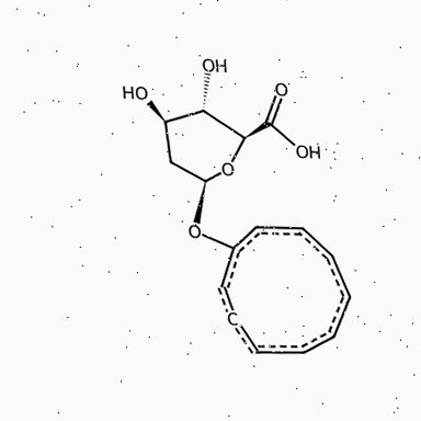 O=C(O)[C@H]1O[C@@H](Oc2ccccccccc2)C[C@@H](O)[C@@H]1O